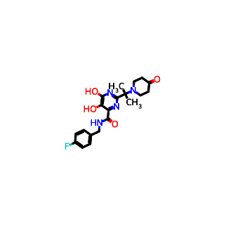 CC(C)(c1nc(O)c(O)c(C(=O)NCc2ccc(F)cc2)n1)N1CCC(=O)CC1